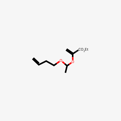 C=CCCOC(C)OC(=C)C(=O)OCC